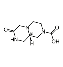 O=C1CN2CCN(C(=O)O)C[C@@H]2CN1